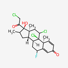 CC1C[C@H]2[C@@H]3CC(F)C4=CC(=O)C=C[C@]4(C)[C@@]3(Cl)C(Cl)C[C@]2(C)[C@@]1(O)C(=O)CCl